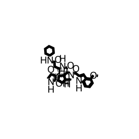 COc1cccc2[nH]c(C(=O)N3C[C@@H]4CCC[C@@H]4[C@H]3C(=O)N[C@@H](C[C@@H]3CCNC3O)C(=O)C(=O)NC3CCCCC3)cc12